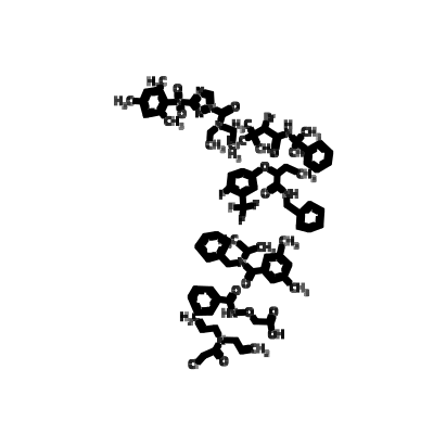 C=CCN(CC=C)C(=O)CCl.CC(C)(NC(=O)C(Br)C(C)(C)C)c1ccccc1.CCC(Oc1ccc(F)c(C(F)(F)F)c1)C(=O)NCc1ccccc1.CCN(CC)C(=O)n1cnc(S(=O)(=O)c2c(C)cc(C)cc2C)n1.Cc1cc(C)cc(C(=O)N(Cc2ccccc2)C(C)C)c1.O=C(O)CONC(=O)c1ccccc1